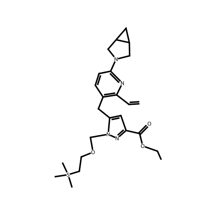 C=Cc1nc(N2CC3CC3C2)ccc1Cc1cc(C(=O)OCC)nn1COCCS(C)(C)C